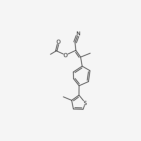 CC(=O)O/C(C#N)=C(/C)c1ccc(-c2sccc2C)cc1